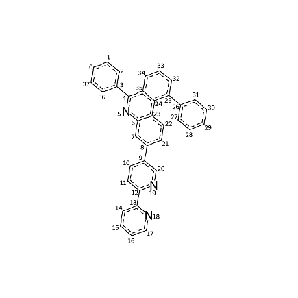 c1ccc(-c2nc3cc(-c4ccc(-c5ccccn5)nc4)ccc3c3c(-c4ccccc4)cccc23)cc1